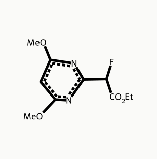 CCOC(=O)C(F)c1nc(OC)cc(OC)n1